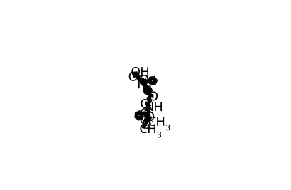 CCOC(=O)[C@@H](C)OP(=O)(CCNC(=O)CCC(=O)c1ccc(-c2nc(CCC(=O)O)oc2-c2ccccc2)cc1)Oc1ccccc1